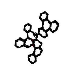 c1ccc(N(c2ccc3c(ccc4ccccc43)c2)c2ccc3c4ccccc4c4ccccc4c3c2)c(-c2cccc3ccccc23)c1